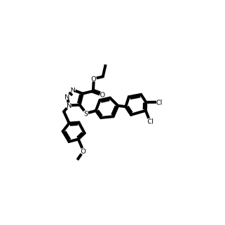 CCOC(=O)c1nnn(Cc2ccc(OC)cc2)c1Sc1ccc(-c2ccc(Cl)c(Cl)c2)cc1